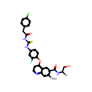 CCC(CO)NC(=O)c1cc2c(Oc3ccc(NC(=S)NC(=O)Cc4ccc(Cl)cc4)cc3F)ccnc2cc1OC